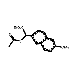 CCOC(=O)C(SC(C)=S)c1ccc2cc(OC)ccc2c1